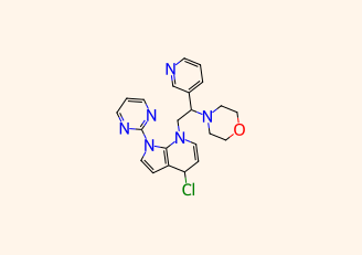 ClC1C=CN(CC(c2cccnc2)N2CCOCC2)c2c1ccn2-c1ncccn1